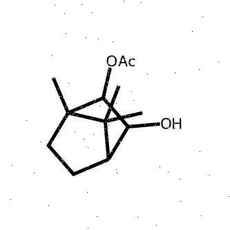 CC(=O)OC1C(O)C2CCC1(C)C2(C)C